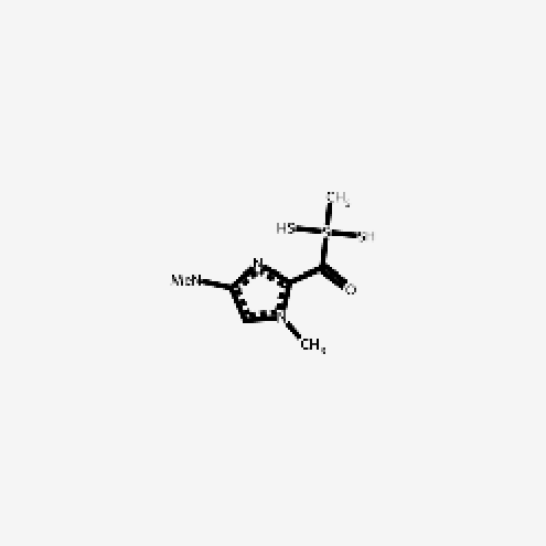 CNc1cn(C)c(C(=O)S(C)(S)S)n1